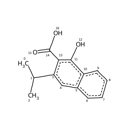 CC(C)c1cc2ccccc2c(O)c1C(=O)O